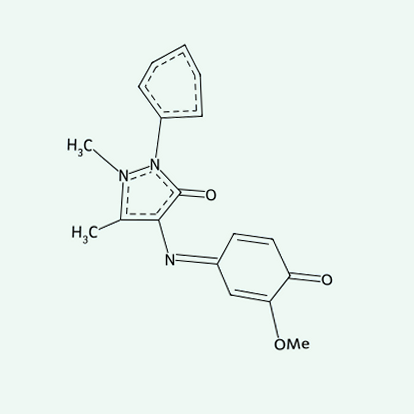 COC1=CC(=Nc2c(C)n(C)n(-c3ccccc3)c2=O)C=CC1=O